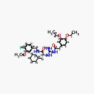 CCOc1ccc(CC(=O)NC(=N)N[C@H](CC2CCCCC2)C(=O)NCc2ccc(F)c(OC)c2)cc1OCC